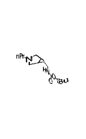 CCCN1CC2C(CNC(=O)OC(C)(C)C)C2C1